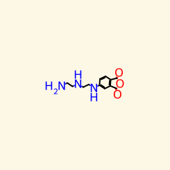 NCCNCCNc1ccc2c(c1)C(=O)OC2=O